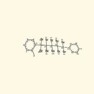 Cc1ccccc1C(Br)(Br)C(Br)(Br)C(Br)(Br)C(Br)(Br)C(Br)(Br)c1ccccc1